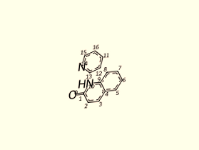 O=c1ccc2ccccc2[nH]1.c1ccncc1